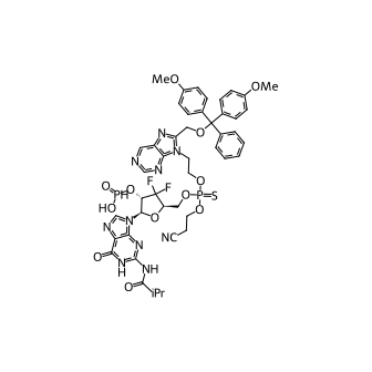 COc1ccc(C(OCc2nc3cncnc3n2CCOP(=S)(OCCC#N)OC[C@H]2O[C@@H](n3cnc4c(=O)[nH]c(NC(=O)C(C)C)nc43)[C@H](O[PH](=O)O)C2(F)F)(c2ccccc2)c2ccc(OC)cc2)cc1